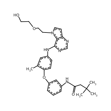 Cc1cc(Nc2ncnc3ccn(CCOCCO)c23)ccc1Oc1cccc(NC(=O)CC(C)(C)C)c1